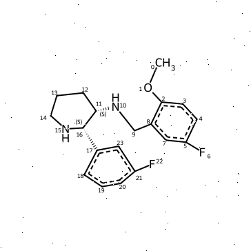 COc1ccc(F)cc1CN[C@H]1CCCN[C@H]1c1cccc(F)c1